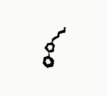 C/C=C/CC[C@H]1CC[C@H](c2cc[c]cc2)CC1